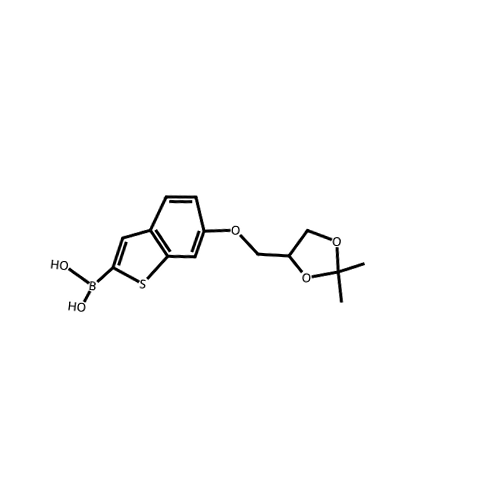 CC1(C)OCC(COc2ccc3cc(B(O)O)sc3c2)O1